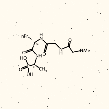 CCC[C@H](NC(=O)CNC(=O)CNC)C(=O)N[C@@H](C)P(=O)(O)O